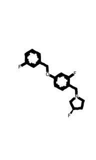 Fc1cccc(COc2ccc(CN3CC[C@@H](F)C3)c(F)c2)c1